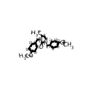 COc1ccc(CN2C=CC(C)N(Cc3ccc(OC)cc3)C2=O)cc1